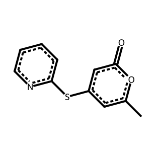 Cc1cc(Sc2ccccn2)cc(=O)o1